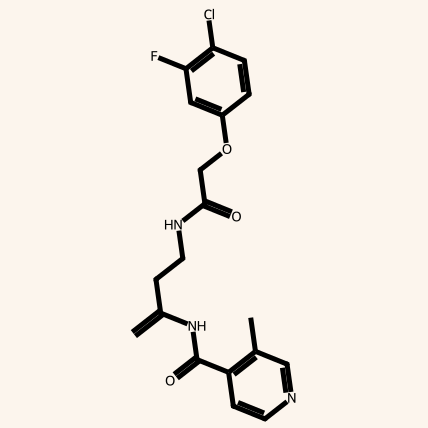 C=C(CCNC(=O)COc1ccc(Cl)c(F)c1)NC(=O)c1ccncc1C